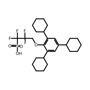 O=S(=O)(O)C(F)(F)C(F)(F)COc1c(C2CCCCC2)cc(C2CCCCC2)cc1C1CCCCC1